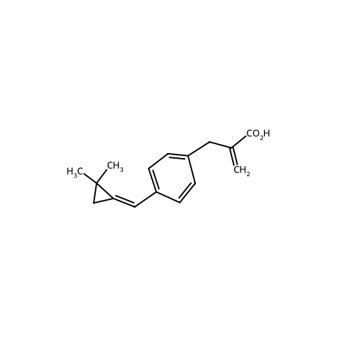 C=C(Cc1ccc(C=C2CC2(C)C)cc1)C(=O)O